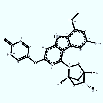 C=C1N=CC(Oc2nc(N3C[C@H]4C[C@@H]3C[C@H]4N)c3c(n2)[nH]c2c(NC)cc(F)cc23)=CN1